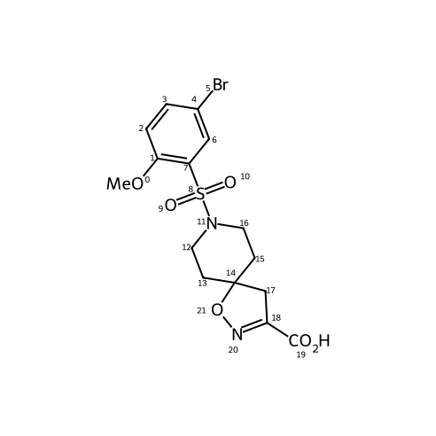 COc1ccc(Br)cc1S(=O)(=O)N1CCC2(CC1)CC(C(=O)O)=NO2